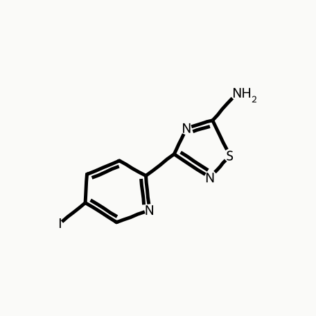 Nc1nc(-c2ccc(I)cn2)ns1